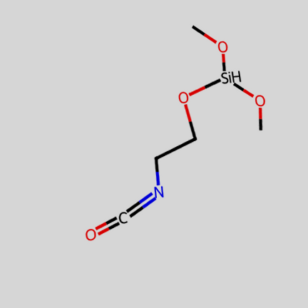 CO[SiH](OC)OCCN=C=O